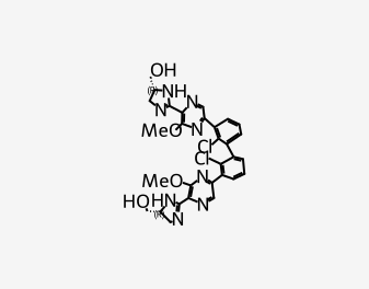 COc1nc(-c2cccc(-c3cccc(-c4cnc(C5=NC[C@H](CO)N5)c(OC)n4)c3Cl)c2Cl)cnc1C1=NC[C@H](CO)N1